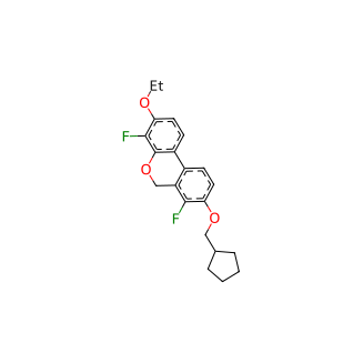 CCOc1ccc2c(c1F)OCc1c-2ccc(OCC2CCCC2)c1F